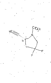 C#C[C@H]1CC(F)(F)CN1C(=O)O